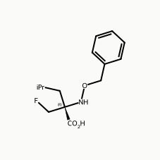 CC(C)C[C@@](CF)(NOCc1ccccc1)C(=O)O